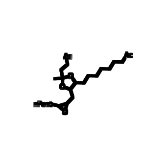 CCCCCC1OC1CC1OC(C)(CCC(C)=O)OC1CCCCCCCC(C)=O